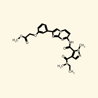 CCN(C)C(=O)c1cnn(C)c1C(=O)Nc1ccn2cc(-c3cccc(OCC(=O)OC)c3)nc2n1